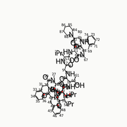 CC(=O)[C@H](NC(=O)[C@@H](NC(=O)CNC(=O)[C@@H](NC(=O)[C@H](CC(C)C)N(C)C(=O)[C@H](C)N(C)C(=O)[C@H](Cc1ccccc1)N(C)C(=O)[C@H](Cc1ccccc1)NC(=O)[C@H](C(C)C)N(C)C(=O)C(C)C)[C@@H](C)O)C(C)C)C(=O)N(C)[C@@H](Cc1ccccc1)C(=O)N[C@@H](C)C(=O)N1CCCCC1